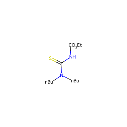 CCCCN(CCCC)C(=S)NC(=O)OCC